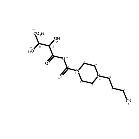 N#CCCCN1CCN(C(=S)OC(=O)C(O)C(O)C(=O)O)CC1